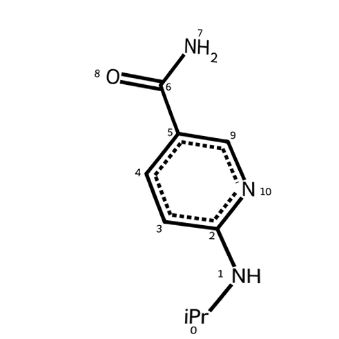 CC(C)Nc1ccc(C(N)=O)cn1